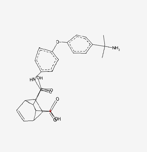 CC(C)(N)c1ccc(Oc2ccc(NC(=O)C3C4C=CC(C(C=O)C4C(=O)O)C3C(=O)O)cc2)cc1